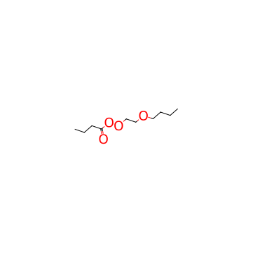 CCCCOCCOOC(=O)CCC